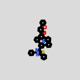 c1ccc(-c2nc(-c3cc(-c4ccccc4)c(-n4c5ccccc5c5c6oc7c(ccc8c9ccccc9oc87)c6ccc54)c(-c4ccccc4)c3)c3sc4ccccc4c3n2)cc1